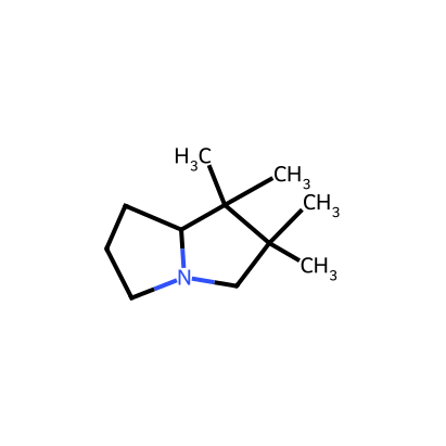 CC1(C)CN2CCCC2C1(C)C